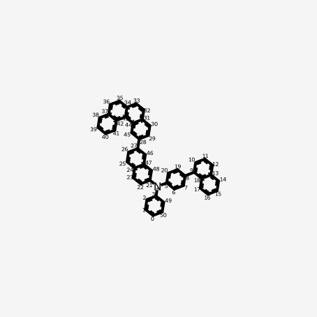 c1ccc(N(c2ccc(-c3cccc4ccccc34)cc2)c2ccc3ccc(-c4ccc5ccc6ccc7ccccc7c6c5c4)cc3c2)cc1